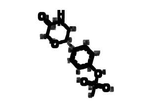 CS(=O)(=O)Oc1ccc([C@H]2CNC(=O)CO2)cc1